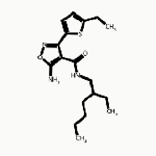 CCCCC(CC)CNC(=O)c1c(-c2ccc(CC)s2)noc1N